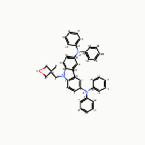 CC1(Cn2c3ccc(N(c4ccccc4)c4ccccc4)cc3c3cc(N(c4ccccc4)c4ccccc4)ccc32)COC1